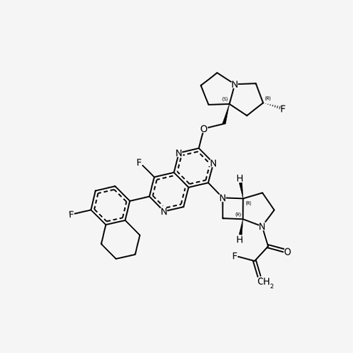 C=C(F)C(=O)N1CC[C@@H]2[C@H]1CN2c1nc(OC[C@@]23CCCN2C[C@H](F)C3)nc2c(F)c(-c3ccc(F)c4c3CCCC4)ncc12